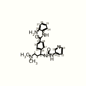 CN(C)CCC(NC(=O)Nc1cccnc1)c1ccc(C(=O)Nc2ccccc2N)cc1